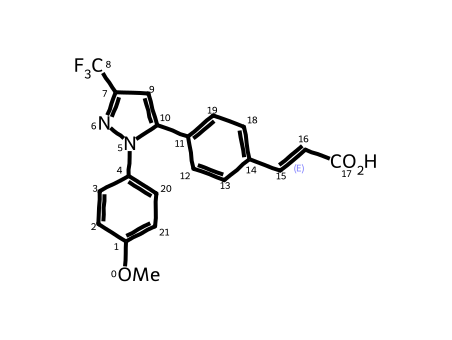 COc1ccc(-n2nc(C(F)(F)F)cc2-c2ccc(/C=C/C(=O)O)cc2)cc1